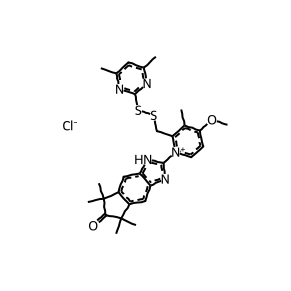 COc1cc[n+](-c2nc3cc4c(cc3[nH]2)C(C)(C)C(=O)C4(C)C)c(CSSc2nc(C)cc(C)n2)c1C.[Cl-]